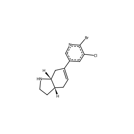 Clc1cc(C2=CC[C@@H]3CCN[C@@H]3C2)cnc1Br